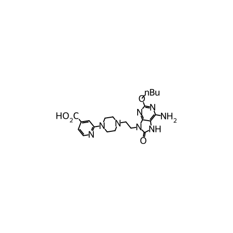 CCCCOc1nc(N)c2[nH]c(=O)n(CCN3CCN(c4cc(C(=O)O)ccn4)CC3)c2n1